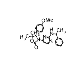 COc1ccc([C@@H]2N(c3ccnc(N[C@@H](C)c4ccccc4)n3)C(=O)OC2(C)C)cc1